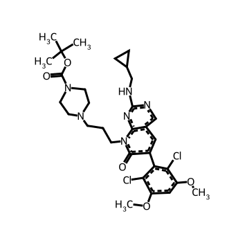 COc1cc(OC)c(Cl)c(-c2cc3cnc(NCC4CC4)nc3n(CCCN3CCN(C(=O)OC(C)(C)C)CC3)c2=O)c1Cl